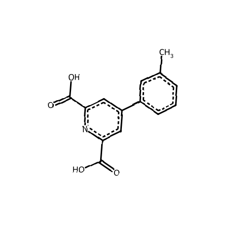 Cc1cccc(-c2cc(C(=O)O)nc(C(=O)O)c2)c1